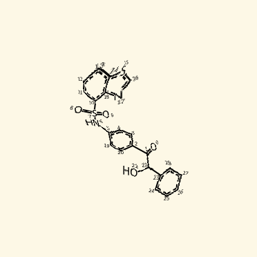 O=C(c1ccc(NS(=O)(=O)c2cccc3scnc23)cc1)C(O)c1ccccc1